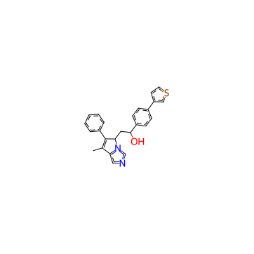 CC1=C(c2ccccc2)C(CC(O)c2ccc(-c3ccsc3)cc2)n2cncc21